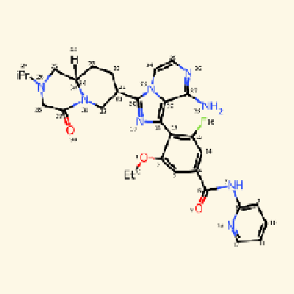 CCOc1cc(C(=O)Nc2ccccn2)cc(F)c1-c1nc([C@@H]2CC[C@H]3CN(C(C)C)CC(=O)N3C2)n2ccnc(N)c12